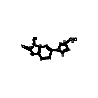 CCn1c(=O)oc2ccc(-n3cc(C=O)cn3)cc21